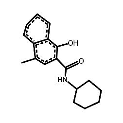 Cc1cc(C(=O)NC2CCCCC2)c(O)c2ccccc12